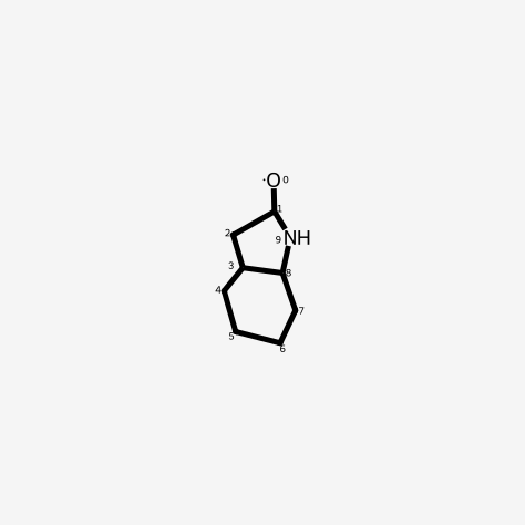 [O]C1CC2CCCCC2N1